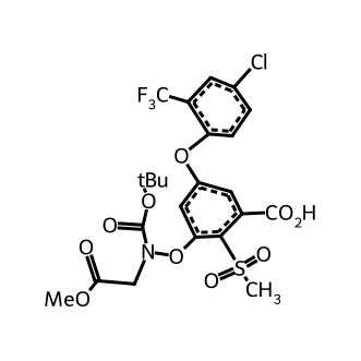 COC(=O)CN(Oc1cc(Oc2ccc(Cl)cc2C(F)(F)F)cc(C(=O)O)c1S(C)(=O)=O)C(=O)OC(C)(C)C